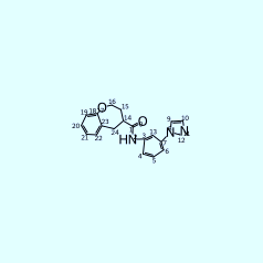 O=C(Nc1cccc(-n2ccnc2)c1)C1CCOc2ccccc2C1